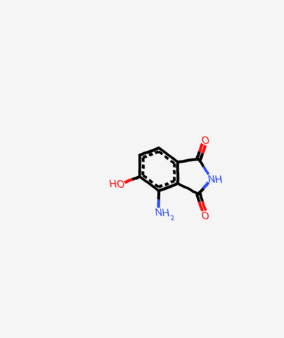 Nc1c(O)ccc2c1C(=O)NC2=O